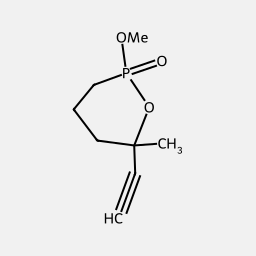 C#CC1(C)CCCP(=O)(OC)O1